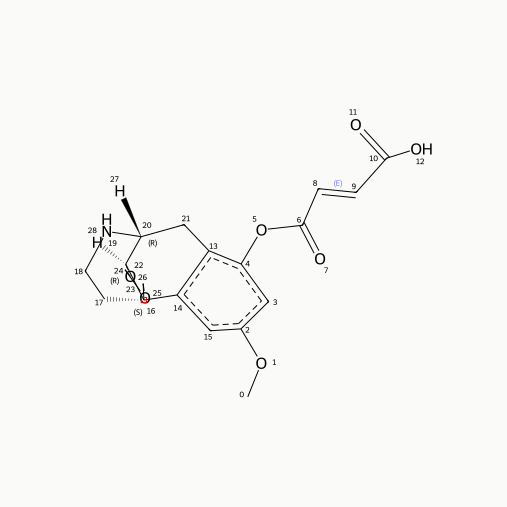 COc1cc(OC(=O)/C=C/C(=O)O)c2c(c1)[C@]13CCN[C@H](C2)[C@@H]1OCOC3